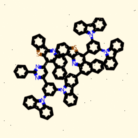 c1ccc(-c2nc(-c3cc(-n4c5ccccc5c5ccccc54)cc(-n4c5ccccc5c5cc(-c6cc7ccccc7c7c(-c8cc(-n9c%10ccccc%10c%10ccccc%109)cc(-n9c%10ccccc%10c%10ccccc%109)c8)c8sc9ccccc9c8nc67)ccc54)c3)cc(-c3c4sc5ccccc5c4nc4ccc5ccccc5c34)n2)cc1